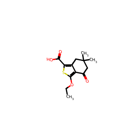 CCOc1sc(C(=O)O)c2c1C(=O)CC(C)(C)C2